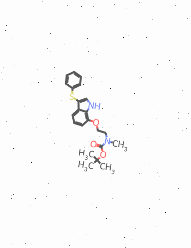 CN(CCOc1cccc2c(Sc3ccccc3)c[nH]c12)C(=O)OC(C)(C)C